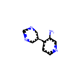 Nc1cnccc1-c1cncnc1